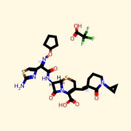 Nc1nc(/C(=N/OC2CCCC2)C(=O)N[C@@H]2C(=O)N3C(C(=O)O)=C(/C=C4\CCCN(C5CC5)C4=O)CS[C@H]23)cs1.O=C(O)C(F)(F)F